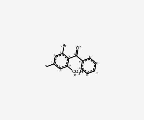 Cc1cc(Br)c(C(=O)c2ccccc2)c(C(=O)O)c1